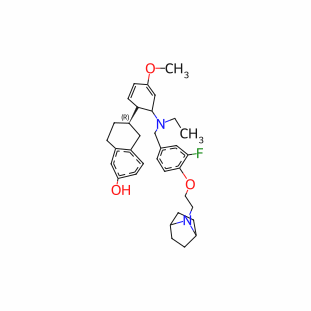 CCN(Cc1ccc(OCCN2C3CCC2CC3)c(F)c1)C1C=C(OC)C=CC1[C@@H]1CCc2cc(O)ccc2C1